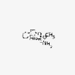 COC(=O)[C@H](CN)Nc1cccc2ccccc12